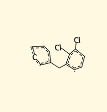 Clc1cc[c]c(Cc2ccccc2)c1Cl